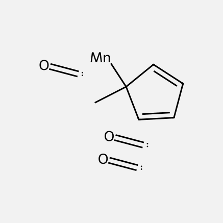 C[C]1([Mn])C=CC=C1.[C]=O.[C]=O.[C]=O